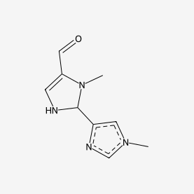 CN1C(C=O)=CNC1c1cn(C)cn1